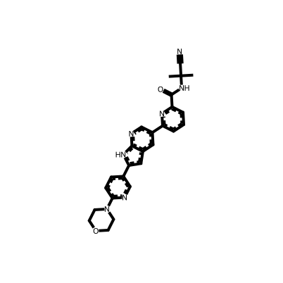 CC(C)(C#N)NC(=O)c1cccc(-c2cnc3[nH]c(-c4ccc(N5CCOCC5)nc4)cc3c2)n1